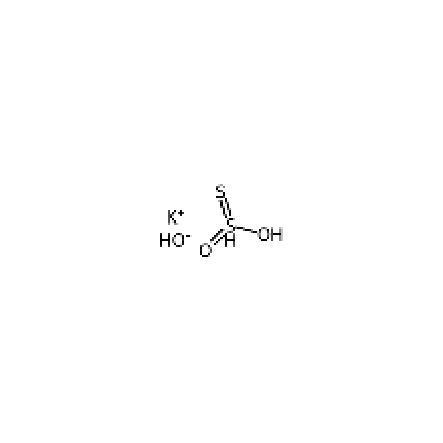 O=[SH](O)=S.[K+].[OH-]